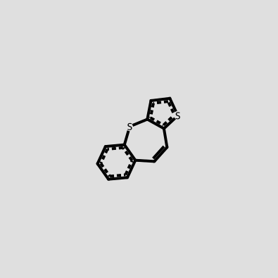 C1=Cc2sccc2Sc2ccccc21